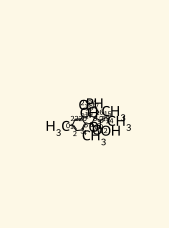 Cc1cc(C)c(C(=O)C2(C(C(=O)O)C(C)C)CCCC2)c(C)c1.O=P